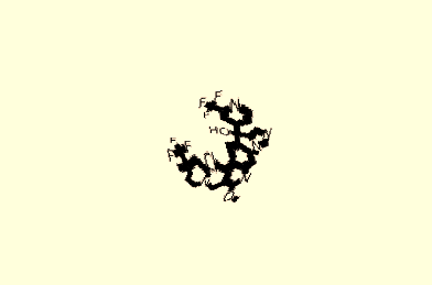 COc1nc2ccc(C(O)(c3ccnc(C(F)(F)F)c3)c3cncn3C)cc2c(Cl)c1CN1CCC(C)(C(F)(F)F)CC1